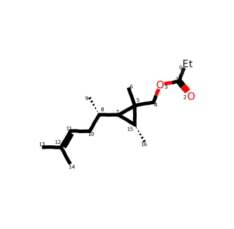 CCC(=O)OCC1(C)C([C@@H](C)CC=C(C)C)[C@H]1C